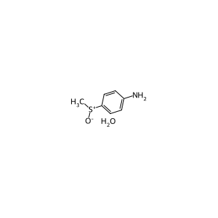 C[S+]([O-])c1ccc(N)cc1.O